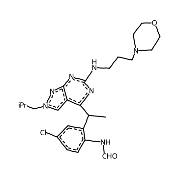 CC(C)Cn1cc2c(C(C)c3cc(Cl)ccc3NC=O)nc(NCCCN3CCOCC3)nc2n1